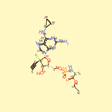 C#C[C@@]1(F)[C@H](O)[C@@H](CO[PH](=O)N[C@H](C)C(=O)OCC)O[C@H]1n1cnc2c(NC3CC3)nc(N)nc21